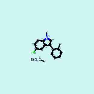 CCOC(C)=O.Cc1ccccc1-c1cn(C)c2ccc(Cl)cc12